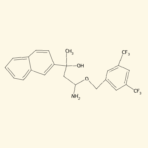 CC(O)(CC(N)OCc1cc(C(F)(F)F)cc(C(F)(F)F)c1)c1ccc2ccccc2c1